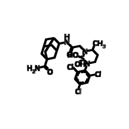 CC1CCN(c2c(Cl)cc(Cl)cc2Cl)S(O)(O)N1CC(=O)NC1C2CC3CC1CC(C(N)=O)(C3)C2